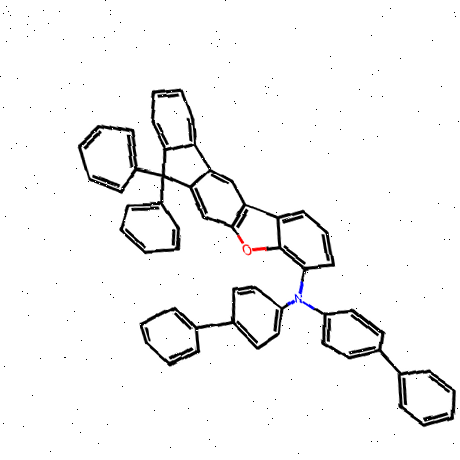 c1ccc(-c2ccc(N(c3ccc(-c4ccccc4)cc3)c3cccc4c3oc3cc5c(cc34)-c3ccccc3C5(c3ccccc3)c3ccccc3)cc2)cc1